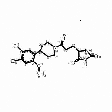 COc1cc(Cl)c(Cl)cc1C1CCN(C(=O)CCC2NC(=O)NC2=O)CC1